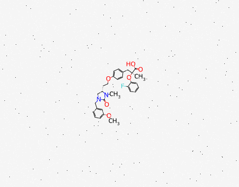 COc1cccc(CN2C[C@H](CCOc3ccc(C[C@](C)(Oc4ccccc4F)C(=O)O)cc3)N(C)C2=O)c1